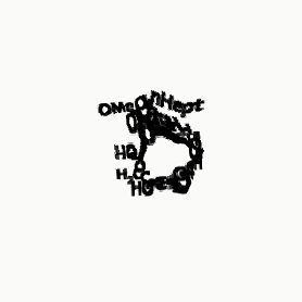 C=C1C[C@H](O)C[C@@H]2CCC[C@H](C[C@@H]3CCO[C@H](/C=C/C(C)(C)[C@]4(O)OC(C/C(=C\C(=O)OC)[C@@H]4OC(=O)CCCCCCC)C[C@H](CO)O1)O3)O2